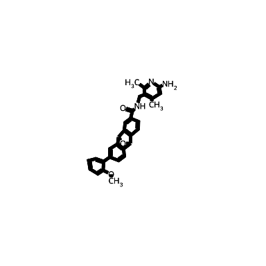 COc1ccccc1-c1ccc2c(c1)C1OC2c2ccc(C(=O)NCc3c(C)cc(N)nc3C)cc21